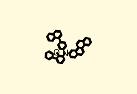 c1ccc2c(-c3ccc(N(c4ccc5ccc6c7ccccc7ccc6c5c4)c4cccc5c4oc4ccccc45)cc3)cccc2c1